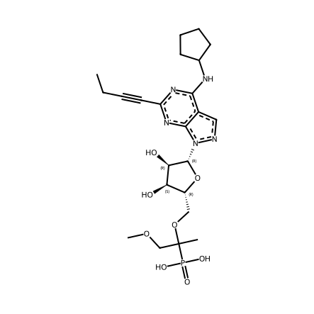 CCC#Cc1nc(NC2CCCC2)c2cnn([C@@H]3O[C@H](COC(C)(COC)P(=O)(O)O)[C@@H](O)[C@H]3O)c2n1